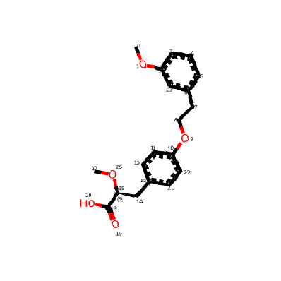 COc1cccc(CCOc2ccc(C[C@H](OC)C(=O)O)cc2)c1